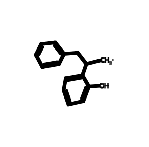 [CH2]C(Cc1ccccc1)c1ccccc1O